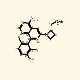 COC[C@@H]1CCN1c1cc2c(N)ncnc2c(-c2c(C)ccc(O)c2C)n1